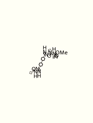 COC(=O)N[C@H](C(=O)N1CCC[C@H]1c1nc(-c2ccc(-c3ccc(-c4c[nH]c(NC(=O)C5CCC5)n4)cc3)cc2)c[nH]1)C(C)C